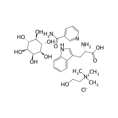 C[N+](C)(C)CCO.NC(=O)c1cccnc1.N[C@@H](Cc1c[nH]c2ccccc12)C(=O)O.O[C@H]1[C@H](O)[C@@H](O)[C@H](O)[C@@H](O)[C@H]1O.[Cl-]